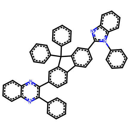 c1ccc(-c2nc3ccccc3nc2-c2ccc3c(c2)C(c2ccccc2)(c2ccccc2)c2cc(-c4nc5ccccc5n4-c4ccccc4)ccc2-3)cc1